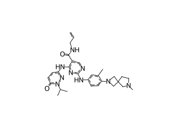 C=CCNC(=O)c1cnc(Nc2ccc(N3CC4(CCN(C)C4)C3)c(C)c2)nc1Nc1ccc(=O)n(C(C)C)n1